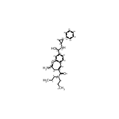 CCCN(CCC)C(=O)C1=Cc2ccc(C(O)N[C@H]3C[C@@H]3c3ccccc3)cc2N=C(N)C1